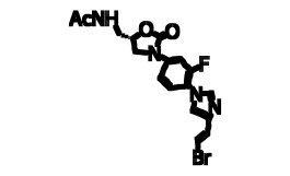 CC(=O)NC[C@H]1CN(c2ccc(-n3cnc(C=CBr)c3)c(F)c2)C(=O)O1